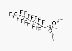 CC=CO[Si](C)(CCC(F)(F)C(F)(F)C(F)(F)C(F)(F)C(F)(F)C(F)(F)C(F)(F)C(F)(F)F)OC=CC